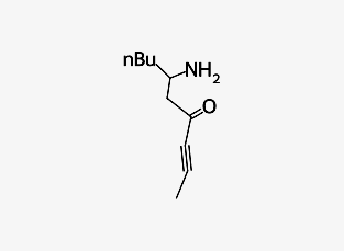 CC#CC(=O)CC(N)CCCC